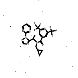 CC(c1ncnn1-c1ncccn1)N(CC1CC1)C(=O)c1cc(C(F)(F)F)nc(C(F)(F)F)c1